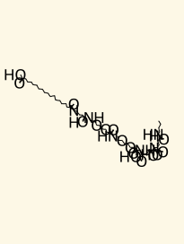 CCCCNC(=O)CC[C@H](NC(=O)CC[C@H](NC(=O)COCCOCCNC(=O)COCCOCCNC(=O)CCCNC(=O)CCCCCCCCCCCCCCCCC(=O)O)C(=O)O)C(=O)O